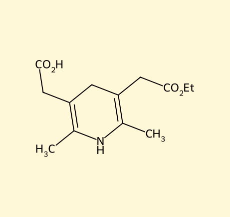 CCOC(=O)CC1=C(C)NC(C)=C(CC(=O)O)C1